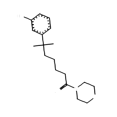 CC(C)(CCCCC(=O)N1CCOCC1)c1cccc(O)c1